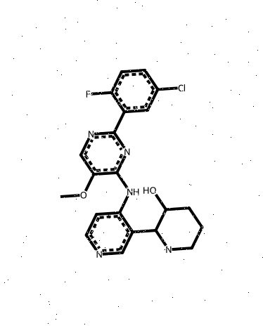 COc1cnc(-c2cc(Cl)ccc2F)nc1Nc1ccncc1C1[N]CCCC1O